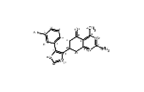 Cc1nc(N)nc2c1C(=O)CC(c1ncsc1-c1cccc(F)n1)C2